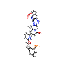 COC(=O)c1ccc2nc(Cn3ccc(-c4cccc(OCc5ccc(C)cc5P)n4)cc3=O)n(C3CC3)c2n1